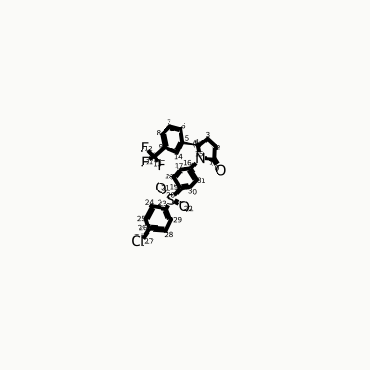 O=C1CC[C@H](c2cccc(C(F)(F)F)c2)N1c1ccc(S(=O)(=O)c2ccc(Cl)cc2)cc1